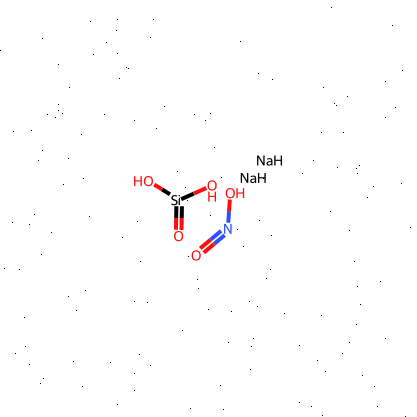 O=NO.O=[Si](O)O.[NaH].[NaH]